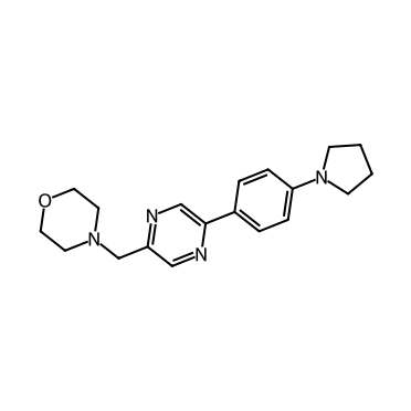 c1cc(N2CCCC2)ccc1-c1cnc(CN2CCOCC2)cn1